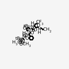 C=CCNC(=O)C(=O)C(CCC(F)(F)F)NC(=O)[C@@H]1C[C@@H](OC(C)(C)C)CN1C(=O)[C@@H](NC(=O)N[C@H](CN(C)S(C)(=O)=O)C(C)(C)C)C1CCCCC1